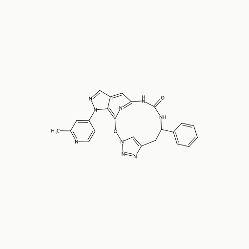 Cc1cc(-n2ncc3cc4nc(c32)On2cc(nn2)CC(c2ccccc2)NC(=O)N4)ccn1